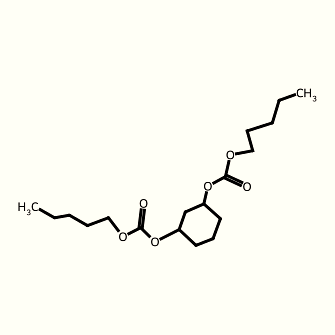 CCCCCOC(=O)OC1CCCC(OC(=O)OCCCCC)C1